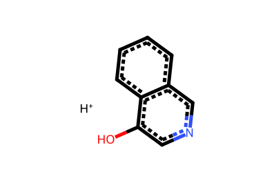 Oc1cncc2ccccc12.[H+]